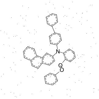 c1ccc(OOc2ccccc2N(c2ccc(-c3ccccc3)cc2)c2ccc3ccc4ccccc4c3c2)cc1